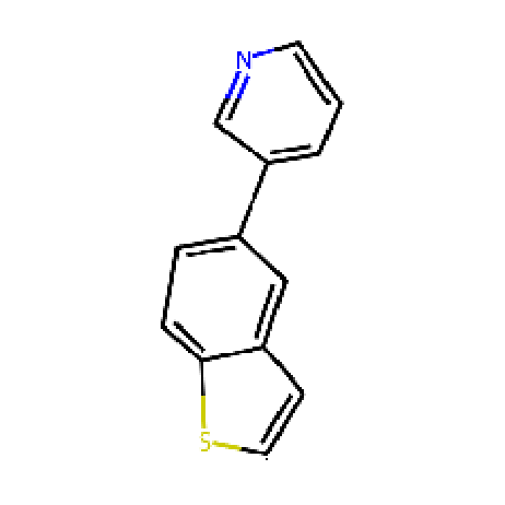 [c]1cc2cc(-c3cccnc3)ccc2s1